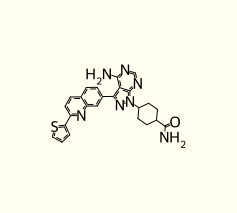 NC(=O)C1CCC(n2nc(-c3ccc4ccc(-c5cccs5)nc4c3)c3c(N)ncnc32)CC1